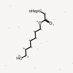 CCCCCCCCC(=O)OCCCCCCCO